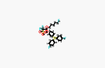 Fc1ccc([S+](c2ccccc2)c2ccc(F)cc2)cc1.O=C(OCCCCCF)C(F)(F)S(=O)(=O)[O-]